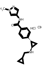 Cl.Cl.Cn1cc(NC(=O)c2ccc([C@@H]3C[C@H]3NCC3CC3)cc2)cn1